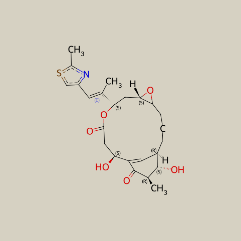 C/C(=C\c1csc(C)n1)[C@@H]1C[C@@H]2OC2CCC[C@@H]2C=C(C(=O)[C@H](C)[C@H]2O)[C@@H](O)CC(=O)O1